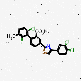 Cc1ccc(Cl)c(-c2ccc(-c3nc(-c4ccc(Cl)c(Cl)c4)cs3)cc2C(=O)O)c1F